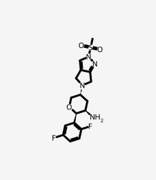 CS(=O)(=O)n1cc2c(n1)CN([C@H]1CO[C@H](c3cc(F)ccc3F)[C@H](N)C1)C2